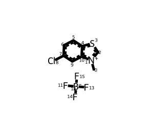 C[n+]1csc2ccc(Cl)cc21.F[B-](F)(F)F